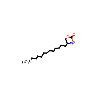 O=C(O)CCCCCCCCCCCCC1COC(=O)SN1